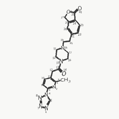 Cc1nc(-n2cnnn2)ccc1CC(=O)N1CCN(CCc2ccc3c(c2)COC3=O)CC1